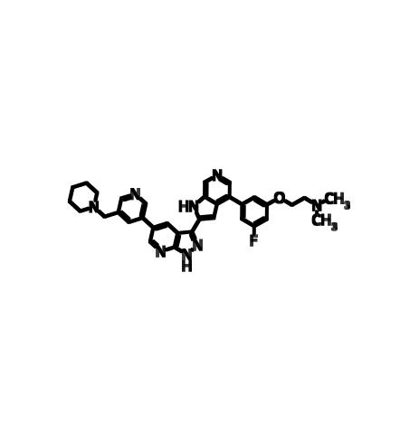 CN(C)CCOc1cc(F)cc(-c2cncc3[nH]c(-c4n[nH]c5ncc(-c6cncc(CN7CCCCC7)c6)cc45)cc23)c1